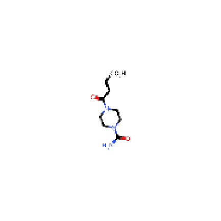 NC(=O)N1CCN(C(=O)CCC(=O)O)CC1